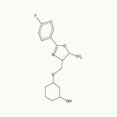 CC1OC(c2ccc(F)cc2)=NC1COC1CCCC(O)C1